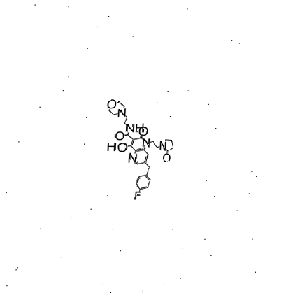 O=C(NCCN1CCOCC1)c1c(O)c2ncc(Cc3ccc(F)cc3)cc2n(CCN2CCCC2=O)c1=O